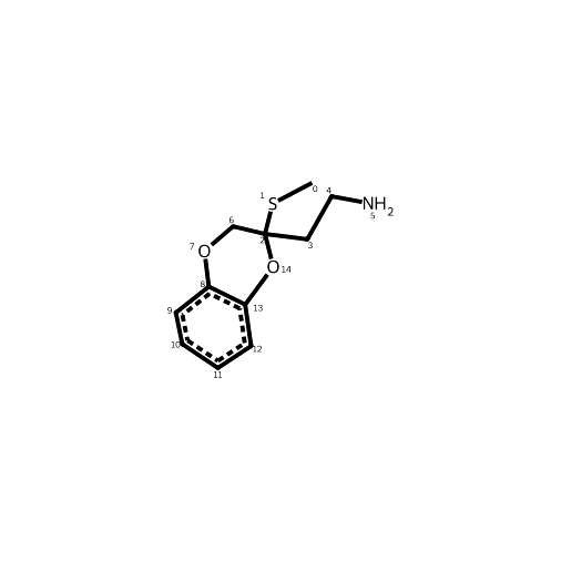 CSC1(CCN)COc2ccccc2O1